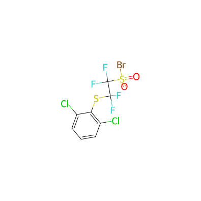 O=S(=O)(Br)C(F)(F)C(F)(F)Sc1c(Cl)cccc1Cl